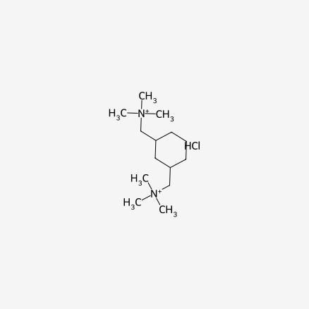 C[N+](C)(C)CC1CCCC(C[N+](C)(C)C)C1.Cl